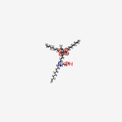 CCCCCCCCCCN(CCCO)CCCCCCC(CCC)(C(=O)OCCCCCCCC)C(=O)OCCCCCCCC